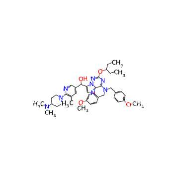 CCC(CC)Oc1nc(N(Cc2ccc(OC)cc2)Cc2ccc(OC)cc2)c2ncc(C(O)c3cnc(N4CCC(N(C)C)CC4)c(C)c3)n2n1